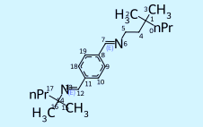 CCCC(C)(C)CC/N=C/c1ccc(/C=N/C(C)(C)CCC)cc1